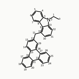 CCn1c2ccccc2c2c(Cc3ccc4c5ccccc5c5ccccc5c4c3)cccc21